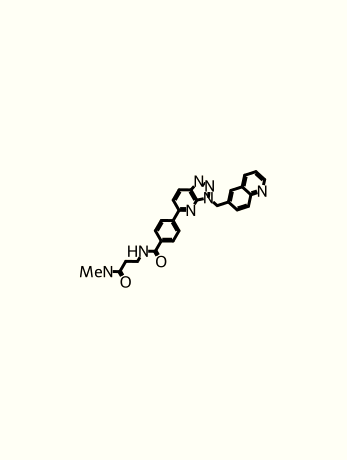 CNC(=O)CCNC(=O)c1ccc(-c2ccc3nnn(Cc4ccc5ncccc5c4)c3n2)cc1